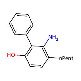 CCCCCc1ccc(O)c(-c2ccccc2)c1N